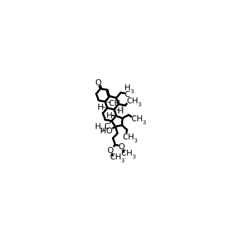 CCC1C2=CC(=O)CC[C@]2(C)[C@@H]2CC[C@@]3(C)[C@@H](C(CC)C(CC)C3(O)CCC(OC)OC)[C@@H]2C1CC